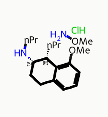 CCCN[C@H]1CCc2cccc(OC)c2[C@H]1CCC.CON.Cl